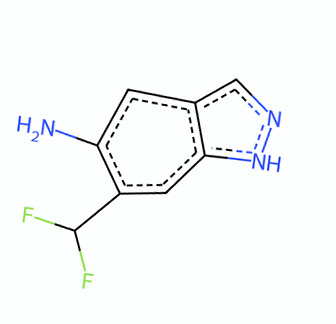 Nc1cc2cn[nH]c2cc1C(F)F